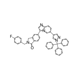 O=C1c2ccc(-c3cnc4ccc(-c5cnn(C(c6ccccc6)(c6ccccc6)c6ccccc6)c5)cn34)cc2CN1Cc1ccc(F)cc1